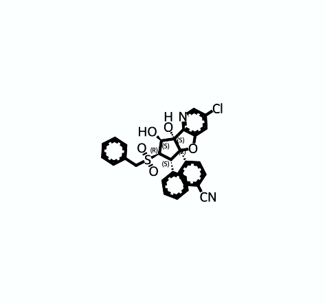 N#Cc1ccc([C@@]23Oc4cc(Cl)cnc4[C@]2(O)[C@H](O)[C@H](S(=O)(=O)Cc2ccccc2)[C@H]3c2ccccc2)cc1